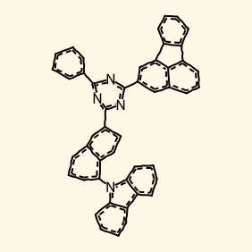 c1ccc(-c2nc(-c3ccc4c(-n5c6ccccc6c6ccccc65)cccc4c3)nc(-c3cc4c5c(cccc5c3)-c3ccccc3-4)n2)cc1